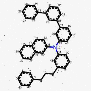 c1ccc(CCCc2cccc(N(c3cccc(-c4cccc(-c5ccccc5)c4)c3)c3ccc4ccccc4c3)c2)cc1